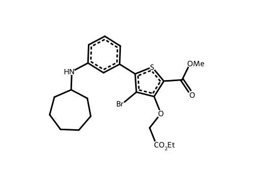 CCOC(=O)COc1c(C(=O)OC)sc(-c2cccc(NC3CCCCCC3)c2)c1Br